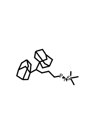 C[Si](C)(C)N=PCCCC(C12CC3CC(CC(C3)C1)C2)C12CC3CC(CC(C3)C1)C2